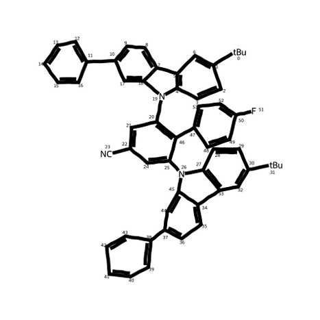 CC(C)(C)c1ccc2c(c1)c1ccc(-c3ccccc3)cc1n2-c1cc(C#N)cc(-n2c3ccc(C(C)(C)C)cc3c3ccc(-c4ccccc4)cc32)c1-c1ccc(F)cc1